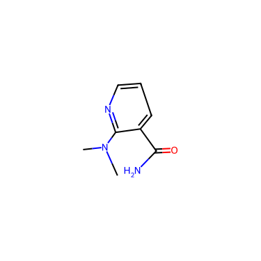 CN(C)c1ncccc1C(N)=O